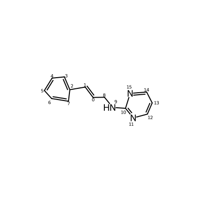 C(=Cc1ccccc1)CNc1ncccn1